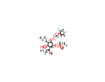 CC(=O)O.CCCc1c(OCCCOc2ccccc2F)ccc(C(C)=O)c1O